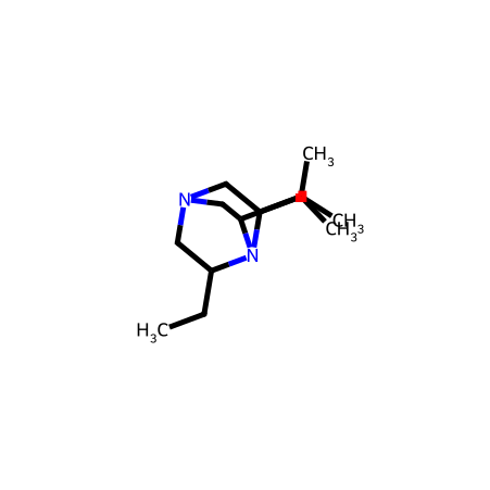 CCC1CN2CC(CC)N1C(C(C)C)C2